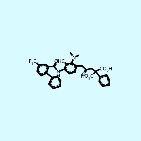 CN(C)c1c(CC(=O)CC(C(=O)O)(C(=O)O)c2ccccc2)ccc(NC(=O)c2cc(C(F)(F)F)ccc2-c2ccccc2)c1C=O